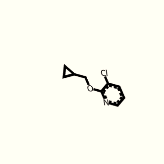 Clc1cccnc1OCC1CC1